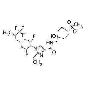 CCc1nc(C(=O)NC[C@]2(O)CC[C@@H](S(C)(=O)=O)CC2)cn1-c1c(F)cc(CC(C)C(F)(F)F)cc1F